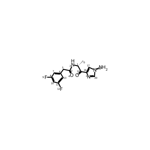 C[C@@H](NC(=O)Cc1cc(F)cc(F)c1)C(=O)c1cn(N)cn1